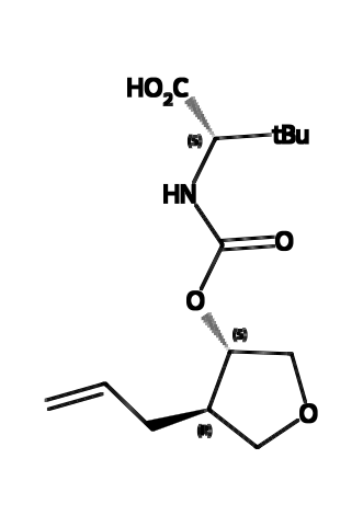 C=CC[C@@H]1COC[C@H]1OC(=O)N[C@H](C(=O)O)C(C)(C)C